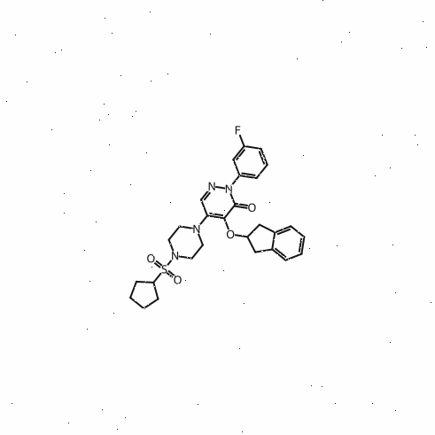 O=c1c(OC2Cc3ccccc3C2)c(N2CCN(S(=O)(=O)C3CCCC3)CC2)cnn1-c1cccc(F)c1